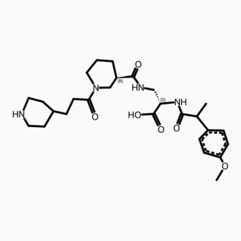 COc1ccc(C(C)C(=O)N[C@@H](CNC(=O)[C@@H]2CCCN(C(=O)CCC3CCNCC3)C2)C(=O)O)cc1